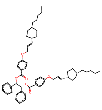 CCCCC[C@H]1CC[C@H](/C=C/COc2ccc(C(=O)O[C@H](c3ccccc3)[C@H](OC(=O)c3ccc(OC/C=C/[C@H]4CC[C@H](CCCCC)CC4)cc3)c3ccccc3)cc2)CC1